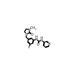 CN1CCN(Cc2cc(F)cc(NC(=O)Nc3cccnc3)c2)C1=O